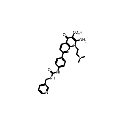 CN(C)CCn1c(N)c(C(=O)O)c(=O)c2ccc(-c3ccc(NC(=O)NCc4cccnc4)cc3)nc21